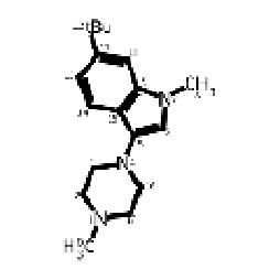 CN1CCN(c2cn(C)c3cc(C(C)(C)C)ccc23)CC1